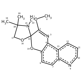 COC1=Nc2c(ccc3ncccc23)OC12OCC(C)(C)N2C